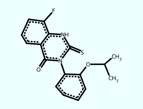 CC(C)Oc1ccccc1-n1c(=S)[nH]c2c(F)cccc2c1=O